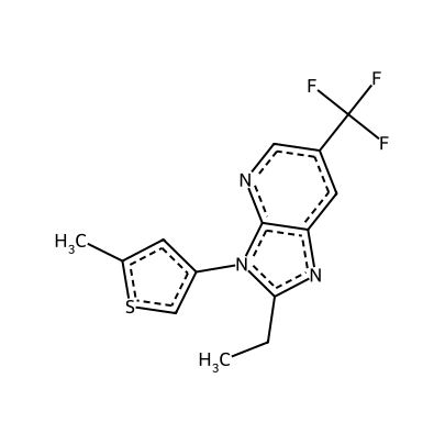 CCc1nc2cc(C(F)(F)F)cnc2n1-c1csc(C)c1